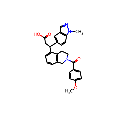 COc1ccc(C(=O)N2CCc3c(cccc3C(CC(=O)O)c3ccc4c(cnn4C)c3)C2)cc1